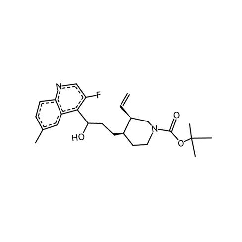 C=C[C@H]1CN(C(=O)OC(C)(C)C)CC[C@H]1CCC(O)c1c(F)cnc2ccc(C)cc12